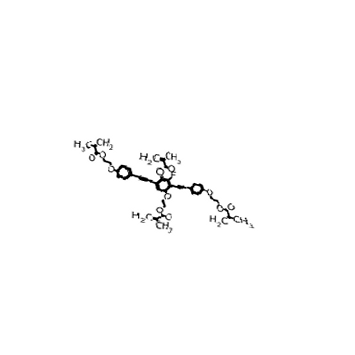 C=C(C)C(=O)OCCOc1ccc(C#Cc2cc(OCCOC(=O)C(=C)C)c(C#Cc3ccc(OCCOC(=O)C(=C)C)cc3)c(F)c2OC(=O)C(=C)C)cc1